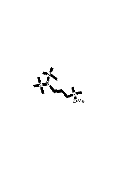 CO[Si](C)(C)CCCN([Si](C)(C)C)[Si](C)(C)C